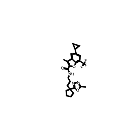 Cc1nnc(C2(CCCNC(=O)c3oc4c(C(F)(F)F)cc(C5CC5)cc4c3C)CCCC2)o1